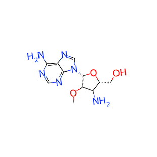 COC1C(N)[C@@H](CO)O[C@H]1n1cnc2c(N)ncnc21